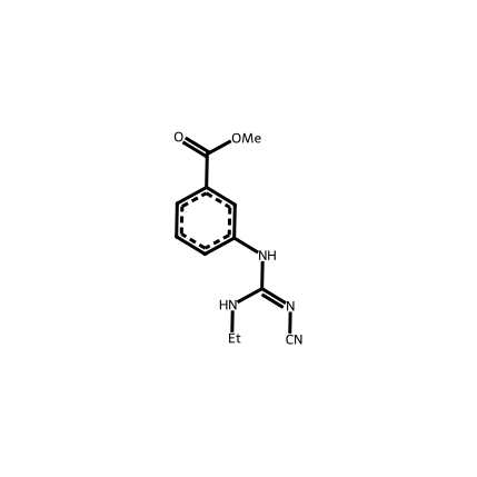 CCN/C(=N\C#N)Nc1cccc(C(=O)OC)c1